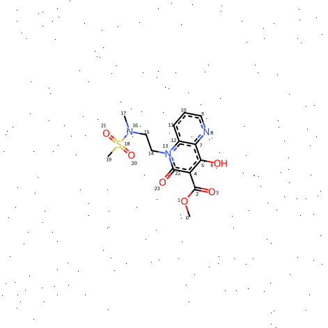 COC(=O)c1c(O)c2ncccc2n(CCN(C)S(C)(=O)=O)c1=O